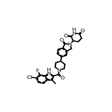 Cc1c(C(=O)N2CCC(c3ccc4c(c3)CN(C3CCC(=O)NC3=O)C4=O)CC2)[nH]c2c(F)c(Cl)ccc12